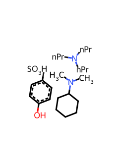 CCCN(CCC)CCC.CN(C)C1CCCCC1.O=S(=O)(O)c1ccc(O)cc1